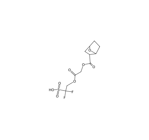 O=C(COC(=O)C1CC2CCC1O2)OCC(F)(F)S(=O)(=O)O